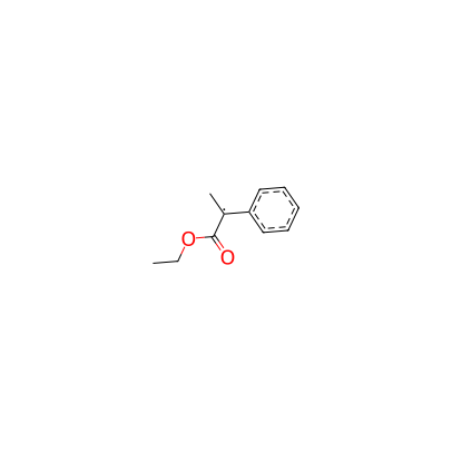 CCOC(=O)[C](C)c1ccccc1